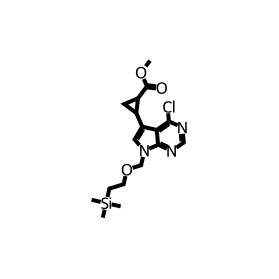 COC(=O)C1CC1c1cn(COCC[Si](C)(C)C)c2ncnc(Cl)c12